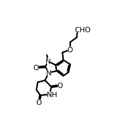 Cn1c(=O)n(C2CCC(=O)NC2=O)c2cccc(COCCC=O)c21